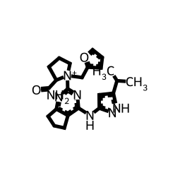 CC(C)c1cc(Nc2nc([N+]3(Cc4ccco4)CCCC3C(N)=O)nc3c2CCC3)n[nH]1